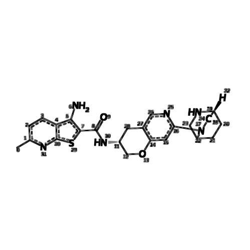 Cc1ccc2c(N)c(C(=O)N[C@H]3COc4cc(N5C[C@H]6CCC5CN6)ncc4C3)sc2n1